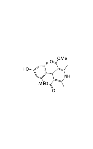 COC(=O)C1=C(C)NC(C)=C(C(=O)OC)C1c1c(F)cc(O)cc1F